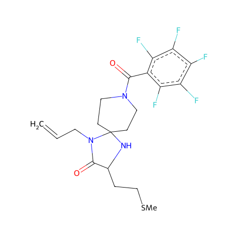 C=CCN1C(=O)C(CCSC)NC12CCN(C(=O)c1c(F)c(F)c(F)c(F)c1F)CC2